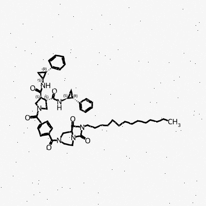 CCCCCCCCCCCCCCN1C(=O)C2CN(C(=O)c3ccc(C(=O)N4C[C@@H](C(=O)N[C@H]5C[C@@H]5c5ccccc5)[C@H](C(=O)N[C@H]5C[C@@H]5c5ccccc5)C4)cc3)CCN2C1=O